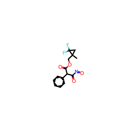 CC1(COC(=O)C(C(=O)N=O)c2ccccc2)CC1(F)F